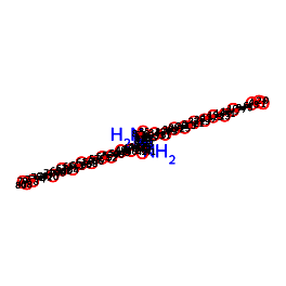 COOCOCCCCCOCCOCCOCCOCCOCCOCCOCCOCCOCCc1nc(C(N)=O)c(CCOCCOCCOCCOCCOCCOCCOCCOCCOCCCCCOCOOC)nc1C(N)=O